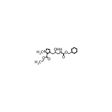 CCOC(=O)c1c(CC(O)CNC(=O)OCc2ccccc2)ccn1C